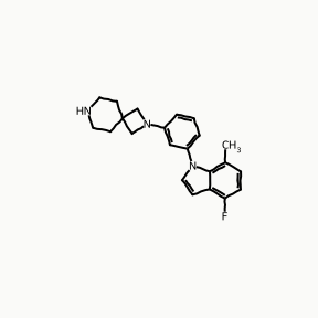 Cc1ccc(F)c2ccn(-c3cccc(N4CC5(CCNCC5)C4)c3)c12